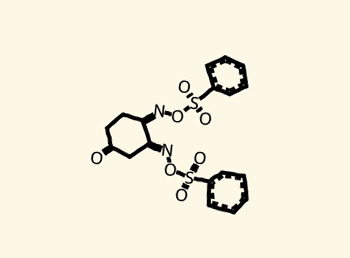 O=C1CCC(=NOS(=O)(=O)c2ccccc2)C(=NOS(=O)(=O)c2ccccc2)C1